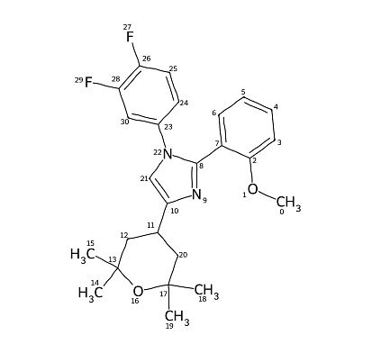 COc1ccccc1-c1nc(C2CC(C)(C)OC(C)(C)C2)cn1-c1ccc(F)c(F)c1